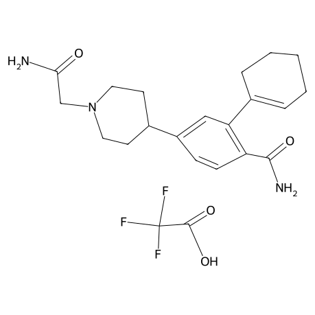 NC(=O)CN1CCC(c2ccc(C(N)=O)c(C3=CCCCC3)c2)CC1.O=C(O)C(F)(F)F